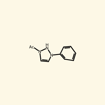 CC(=O)N1C=CN(c2ccccc2)N1